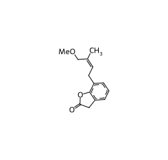 COCC(C)=CCc1cccc2c1OC(=O)C2